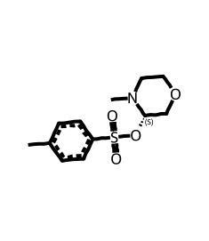 Cc1ccc(S(=O)(=O)O[C@H]2COCCN2C)cc1